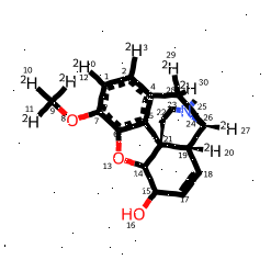 [2H]c1c([2H])c2c3c(c1OC([2H])([2H])[2H])OC1C(O)C=C[C@]4([2H])[C@@]31CCN(C)[C@]4([2H])C2([2H])[2H]